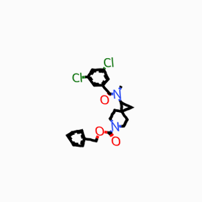 CN(C(=O)c1cc(Cl)cc(Cl)c1)C1CC12CCN(C(=O)OCc1ccccc1)CC2